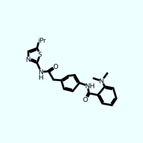 CC(C)c1cnc(NC(=O)Cc2ccc(NC(=O)c3ccccc3N(C)C)cc2)s1